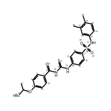 CCCCC(C)Oc1ccc(C(=O)NC(=S)Nc2ccc(S(=O)(=O)Nc3ccc(C)c(C)c3)cc2)cc1